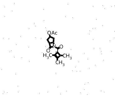 CC(=O)OC1CC2C(=O)N(C(=O)[C@@H]3C(C)=C(C)C3C)C2C1